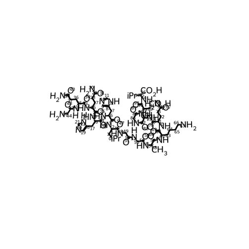 CC(C)CC(NC(=O)C(Cc1cnc[nH]1)NC(=O)C(Cc1cnc[nH]1)NC(=O)C(CCC(N)=O)NC(=O)C(CCC(N)=O)NC(=O)CN)C(=O)NCC(=O)NCC(=O)NC(C)C(=O)NC(CCCCN)C(=O)NC(CCC(N)=O)C(=O)NC(C)C(=O)NCC(=O)NC(CC(=O)O)C(=O)NC(C(=O)O)C(C)C